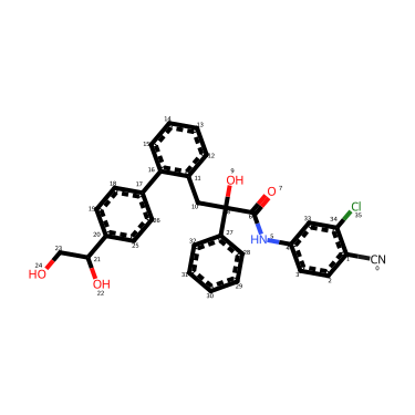 N#Cc1ccc(NC(=O)C(O)(Cc2ccccc2-c2ccc(C(O)CO)cc2)c2ccccc2)cc1Cl